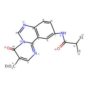 CCOC(=O)c1cnc2c3cc(NC(=O)C(CC)CC)ccc3ncn2c1=O